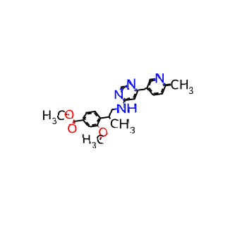 COC(=O)c1ccc(C(C)CNc2cc(-c3ccc(C)nc3)ncn2)c(OC)c1